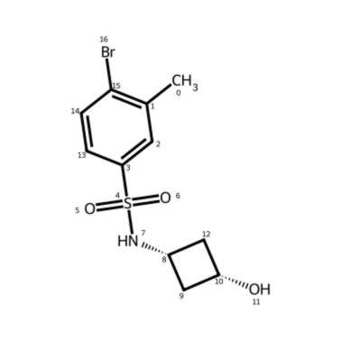 Cc1cc(S(=O)(=O)N[C@H]2C[C@@H](O)C2)ccc1Br